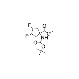 COC(=O)C1(NC(=O)OC(C)(C)C)CC(F)C(F)C1